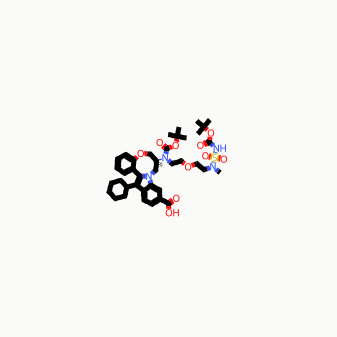 CN(CCOCCN(C(=O)OC(C)(C)C)[C@H]1COc2ccccc2-c2c(C3CCCCC3)c3ccc(C(=O)O)cc3n2C1)S(=O)(=O)NC(=O)OC(C)(C)C